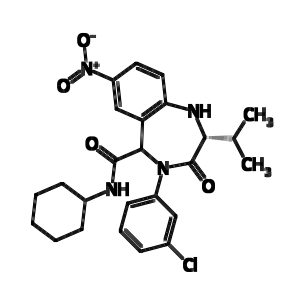 CC(C)[C@H]1Nc2ccc([N+](=O)[O-])cc2C(C(=O)NC2CCCCC2)N(c2cccc(Cl)c2)C1=O